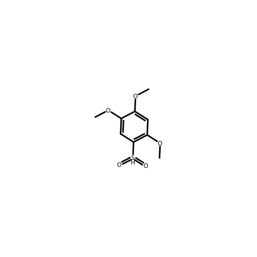 COc1cc(OC)c([SH](=O)=O)cc1OC